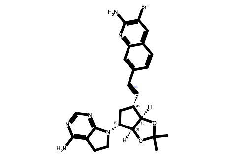 CC1(C)O[C@@H]2[C@H](O1)[C@@H](/C=C/c1ccc3cc(Br)c(N)nc3c1)C[C@H]2N1CCc2c(N)ncnc21